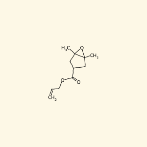 C=CCOC(=O)C1CC2(C)OC2(C)C1